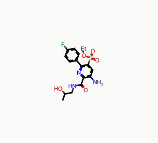 CCOS(=O)(=O)c1cc(N)c(C(=O)NCC(C)O)nc1-c1ccc(F)cc1